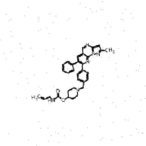 C=CCNC(=O)OC1CCN(Cc2ccc(-c3nc4c(cnc5cc(C)nn54)cc3-c3ccccc3)cc2)CC1